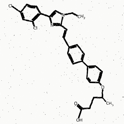 CCn1cc(-c2ccc(Cl)cc2Cl)nc1C=Cc1ccc(-c2ccc(OC(C)CCC(=O)O)cc2)cc1